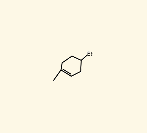 C[CH]C1CC=C(C)CC1